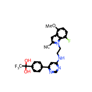 COc1ccc(F)c2c1cc(C#N)n2CCNc1cc(-c2ccc(C(O)(O)C(F)(F)F)cc2)ncn1